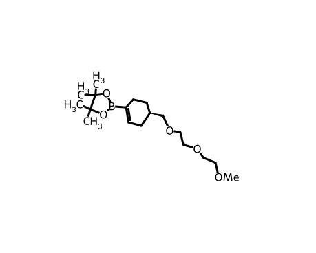 COCCOCCOC[C@H]1CC=C(B2OC(C)(C)C(C)(C)O2)CC1